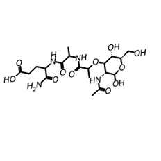 CC(=O)N[C@H]1C(O)O[C@H](CO)[C@@H](O)[C@@H]1OC(C)C(=O)NC(C)C(=O)NC(CCC(=O)O)C(N)=O